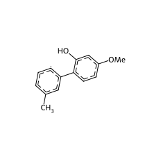 COc1ccc(-c2[c]ccc(C)c2)c(O)c1